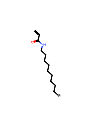 C=CC(=O)NCCCCCCCCCC(C)C